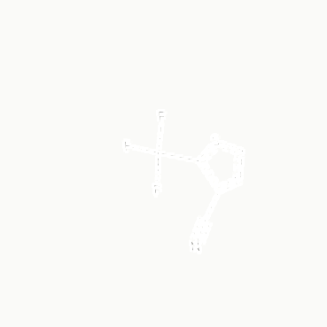 N#Cc1ccsc1C(F)(F)F